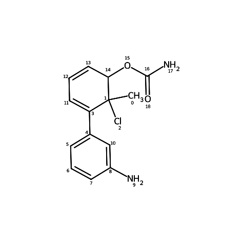 CC1(Cl)C(c2cccc(N)c2)=CC=CC1OC(N)=O